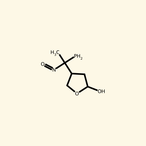 CC(P)(N=O)C1COC(O)C1